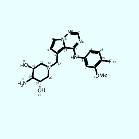 COc1cc(Nc2ncnn3ccc(CN4C[C@H](O)C(N)[C@@H](O)C4)c23)ccc1F